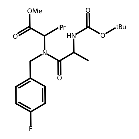 COC(=O)C(C(C)C)N(Cc1ccc(F)cc1)C(=O)C(C)NC(=O)OC(C)(C)C